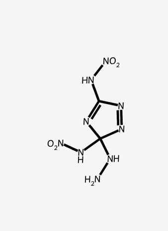 NNC1(N[N+](=O)[O-])N=NC(N[N+](=O)[O-])=N1